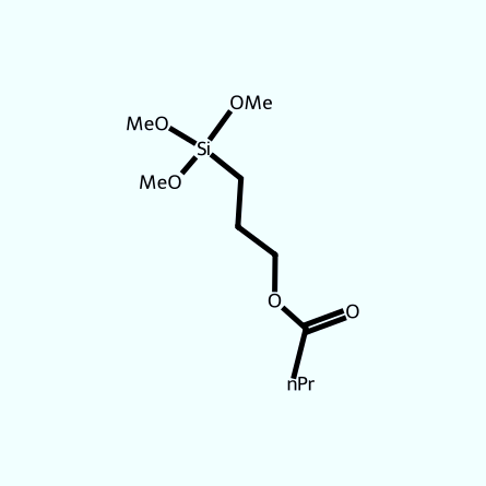 CCCC(=O)OCCC[Si](OC)(OC)OC